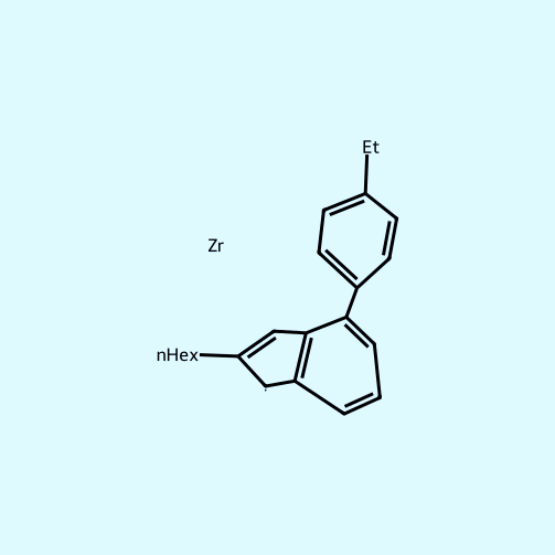 CCCCCCC1=Cc2c(cccc2-c2ccc(CC)cc2)[CH]1.[Zr]